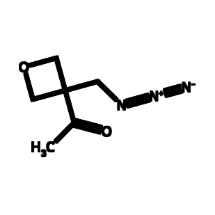 CC(=O)C1(CN=[N+]=[N-])COC1